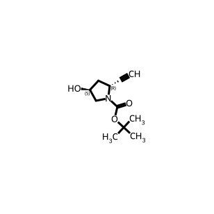 C#C[C@H]1C[C@H](O)CN1C(=O)OC(C)(C)C